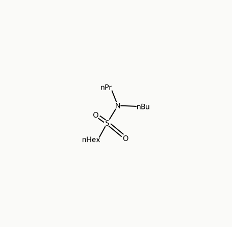 CCCCCCS(=O)(=O)N(CCC)CCCC